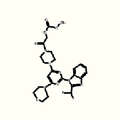 CC(C)(C)OC(=O)NCC(=O)N1CCN(c2cc(N3CCOCC3)nc(-n3c(C(F)F)nc4ccccc43)n2)CC1